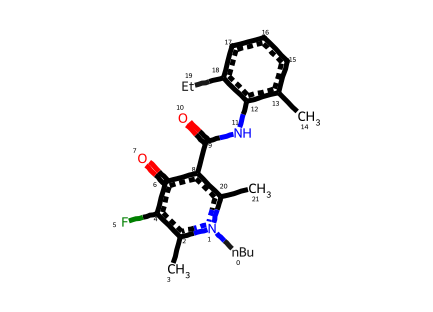 CCCCn1c(C)c(F)c(=O)c(C(=O)Nc2c(C)cccc2CC)c1C